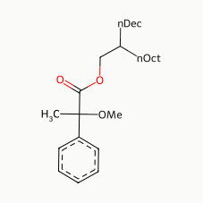 CCCCCCCCCCC(CCCCCCCC)COC(=O)C(C)(OC)c1ccccc1